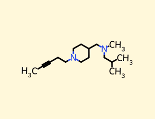 CC#CCCN1CCC(CN(C)CC(C)C)CC1